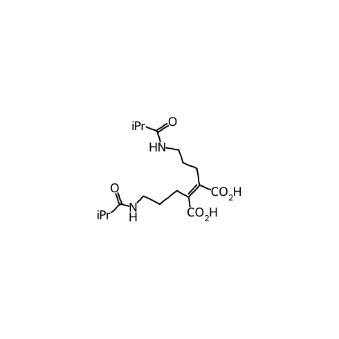 CC(C)C(=O)NCCCC(C(=O)O)=C(CCCNC(=O)C(C)C)C(=O)O